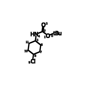 CC(C)(C)OC(=O)NC1CCC(Cl)CC1